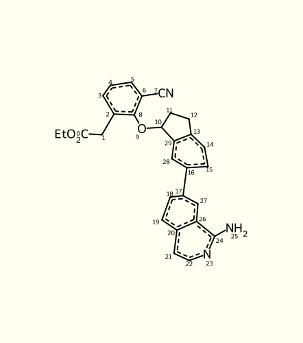 CCOC(=O)Cc1cccc(C#N)c1OC1CCc2ccc(-c3ccc4ccnc(N)c4c3)cc21